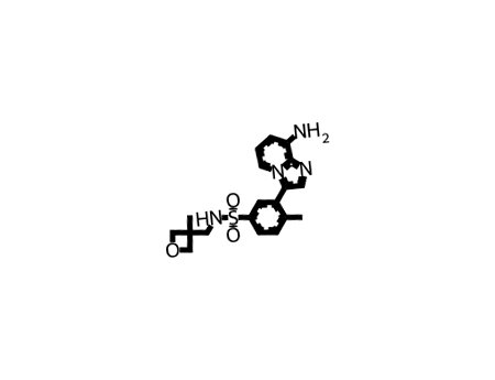 Cc1ccc(S(=O)(=O)NCC2(C)COC2)cc1-c1cnc2c(N)cccn12